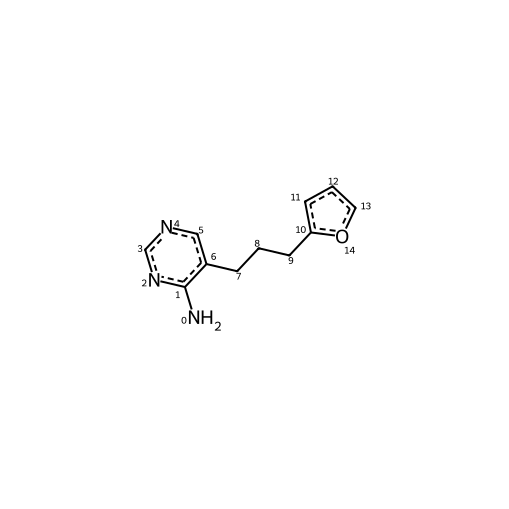 Nc1ncncc1CCCc1ccco1